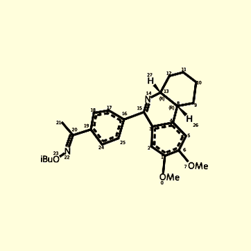 COc1cc2c(cc1OC)[C@H]1CCCC[C@H]1N=C2c1ccc(C(C)=NOCC(C)C)cc1